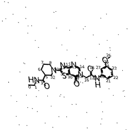 CCNC(=O)C1CCCN(c2nc3ncn(CC(=O)Nc4cccc(OC)c4)c(=O)c3s2)C1